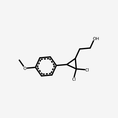 COc1ccc(C2C(CCO)C2(Cl)Cl)cc1